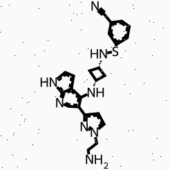 N#Cc1cccc(SN[C@H]2C[C@@H](Nc3c(-c4ccn(CCN)n4)cnc4[nH]ccc34)C2)c1